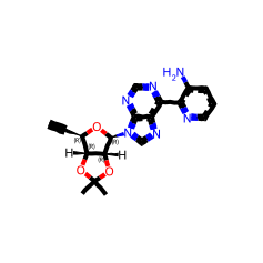 C#C[C@H]1O[C@@H](n2cnc3c(-c4ncccc4N)ncnc32)[C@@H]2OC(C)(C)O[C@@H]21